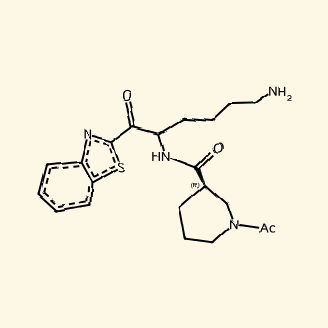 CC(=O)N1CCC[C@@H](C(=O)NC(CCCCN)C(=O)c2nc3ccccc3s2)C1